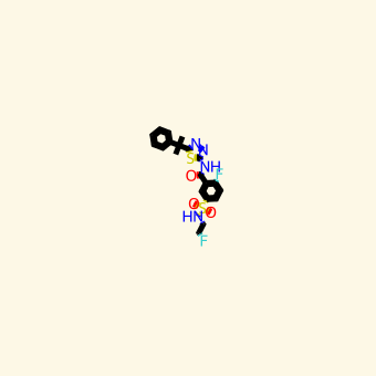 CC(C)(c1ccccc1)c1nnc(NC(=O)c2cc(S(=O)(=O)NCCF)ccc2F)s1